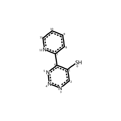 Sc1cnnnc1-c1ccccn1